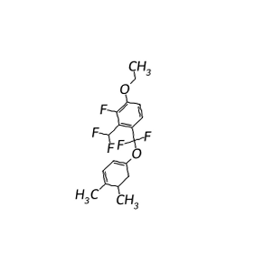 CCOc1ccc(C(F)(F)OC2=CC=C(C)C(C)C2)c(C(F)F)c1F